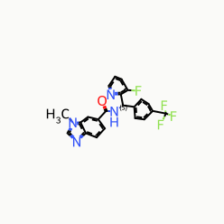 Cn1cnc2ccc(C(=O)N[C@@H](c3ccc(C(F)(F)F)cc3)c3ncccc3F)cc21